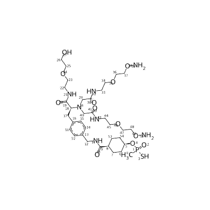 CP(=O)(S)O[C@H]1CC[C@@H](C(=O)NCc2ccc(C[C@@H](C(=O)NCCOCCO)N(CC(=O)NCCOCCON)CC(=O)NCCOCCON)cc2)CC1